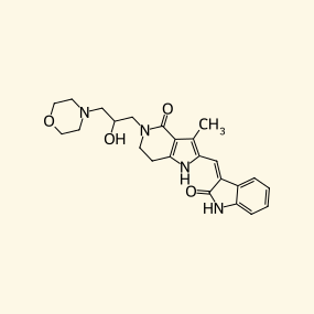 Cc1c(/C=C2\C(=O)Nc3ccccc32)[nH]c2c1C(=O)N(CC(O)CN1CCOCC1)CC2